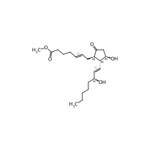 CCCCC[C@H](O)/C=C/[C@H]1[C@H](O)CC(=O)[C@@H]1C/C=C/CCCC(=O)OC